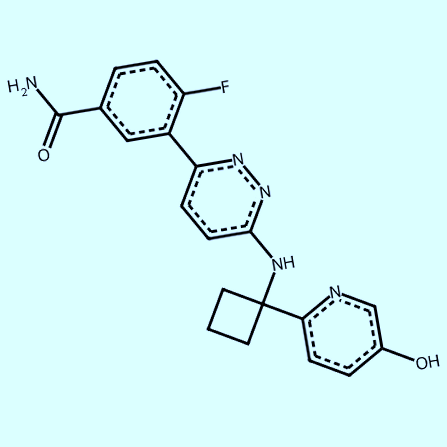 NC(=O)c1ccc(F)c(-c2ccc(NC3(c4ccc(O)cn4)CCC3)nn2)c1